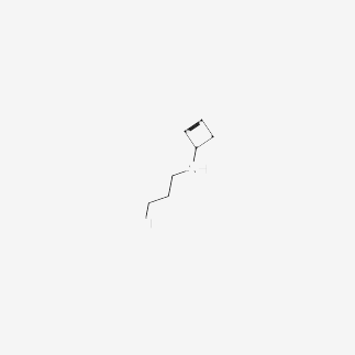 CCCCNC1C=CC1